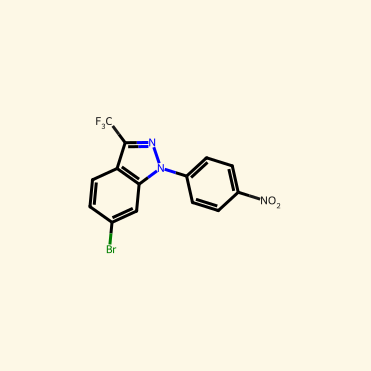 O=[N+]([O-])c1ccc(-n2nc(C(F)(F)F)c3ccc(Br)cc32)cc1